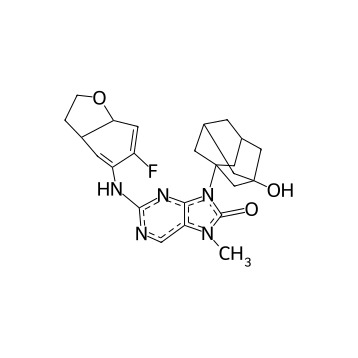 Cn1c(=O)n(C23CC4CC(CC(O)(C4)C2)C3)c2nc(NC3=CC4CCOC4C=C3F)ncc21